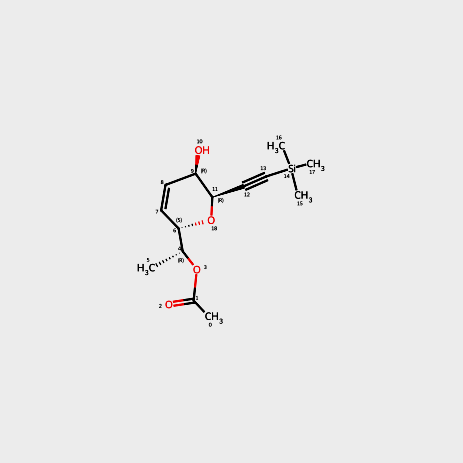 CC(=O)O[C@H](C)[C@@H]1C=C[C@@H](O)[C@@H](C#C[Si](C)(C)C)O1